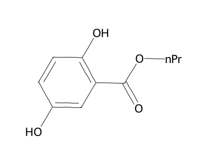 CCCOC(=O)c1cc(O)ccc1O